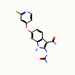 Cn1c(NC(N)=O)c(C(N)=O)c2ccc(Oc3ccnc(Cl)c3)cc21